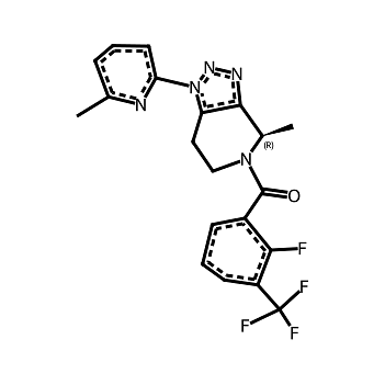 Cc1cccc(-n2nnc3c2CCN(C(=O)c2cccc(C(F)(F)F)c2F)[C@@H]3C)n1